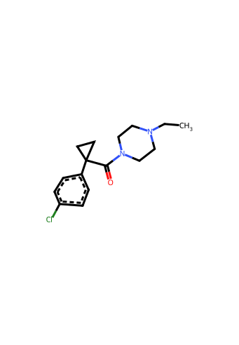 CCN1CCN(C(=O)C2(c3ccc(Cl)cc3)CC2)CC1